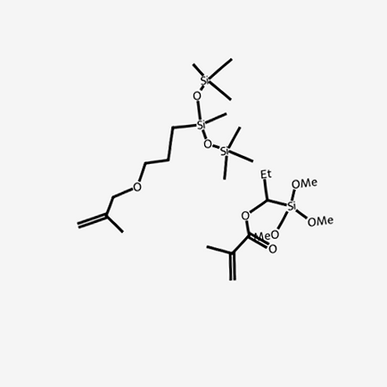 C=C(C)C(=O)OC(CC)[Si](OC)(OC)OC.C=C(C)COCCC[Si](C)(O[Si](C)(C)C)O[Si](C)(C)C